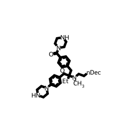 CCCCCCCCCCCCN(C)C(CC)(Cc1ccc(C(=O)N2CCNCC2)cc1)C(=O)c1ccc(N2CCNCC2)cc1